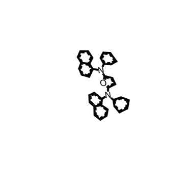 c1ccc(N(c2ccc(N(c3ccccc3)c3cccc4ccccc34)o2)c2cccc3ccccc23)cc1